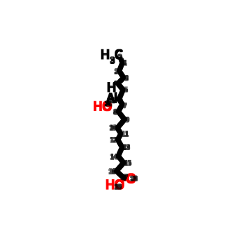 CCCCCC[CH](CCCCCCCCCCC(=O)O)[AlH][OH]